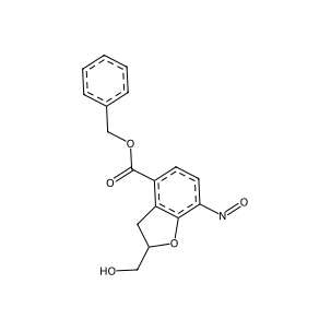 O=Nc1ccc(C(=O)OCc2ccccc2)c2c1OC(CO)C2